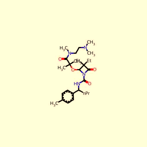 CCCC(NC(=O)N1C(=O)C(CC)(CC)C1OC(C)(C)C(=O)N(C)CCN(C)C)c1ccc(C)cc1